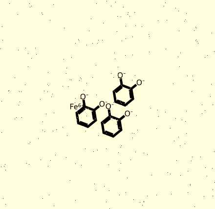 [Fe+6].[O-]c1ccccc1[O-].[O-]c1ccccc1[O-].[O-]c1ccccc1[O-]